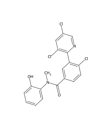 CN(C(=O)c1ccc(Cl)c(-c2ncc(Cl)cc2Cl)c1)c1ccccc1O